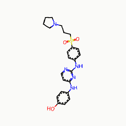 O=S(=O)(CCCN1CCCC1)c1ccc(Nc2nccc(Nc3ccc(O)cc3)n2)cc1